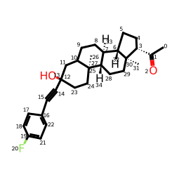 CC(=O)[C@H]1CC[C@H]2[C@@H]3CCC4CC(O)(C#Cc5ccc(F)cc5)CC[C@]4(C)[C@H]3CC[C@]12C